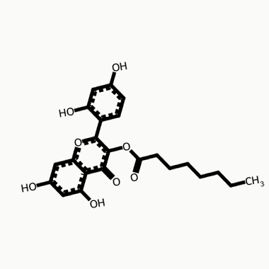 CCCCCCCC(=O)Oc1c(-c2ccc(O)cc2O)oc2cc(O)cc(O)c2c1=O